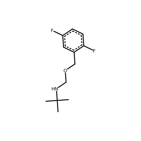 CC(C)(C)NCOCc1cc(F)ccc1F